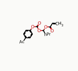 C=CC(=O)OC(CCC)OC(=O)Oc1ccc(C(C)=O)cc1